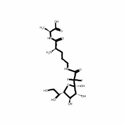 C[C@H](NC(=O)[C@H](N)CCCNC(=O)C(F)(F)[C@]1(O)O[C@@H](C(O)CO)[C@H](O)[C@H]1O)C(=O)O